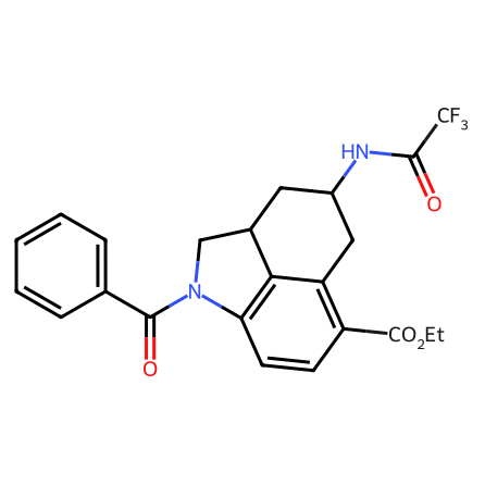 CCOC(=O)c1ccc2c3c1CC(NC(=O)C(F)(F)F)CC3CN2C(=O)c1ccccc1